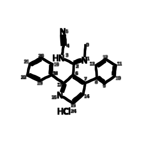 CN=C(NC#N)c1c(-c2ccccc2)ccnc1-c1ccccc1.Cl